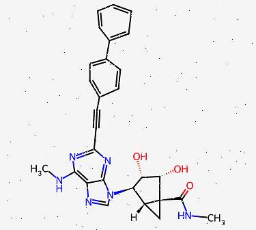 CNC(=O)[C@@]12C[C@@H]1[C@@H](n1cnc3c(NC)nc(C#Cc4ccc(-c5ccccc5)cc4)nc31)[C@H](O)[C@@H]2O